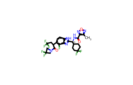 Cc1nonc1C(=O)N[C@H](c1nc2c(F)c(C(CC(F)(F)F)C(=O)N3CC(F)(F)C3)ccc2[nH]1)C1CCC(F)(F)CC1